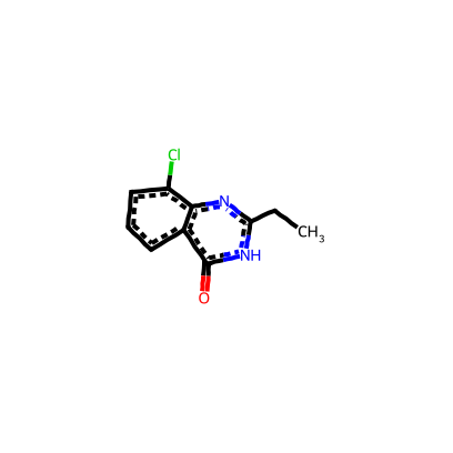 CCc1nc2c(Cl)cccc2c(=O)[nH]1